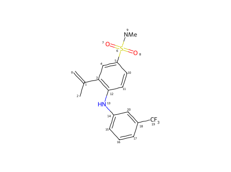 C=C(C)c1cc(S(=O)(=O)NC)ccc1Nc1cccc(C(F)(F)F)c1